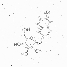 OC[C@H]1O[C@@H](Oc2ccc3cc(Br)ccc3c2)[C@H](O)[C@@H](O)[C@@H]1O